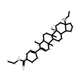 CCNC12CCCC1C1CCC3C4(C)CC=C(C5=CCC(C(=O)OCC)CC5)C(C)C4CCC3(C)[C@]1(C)CC2